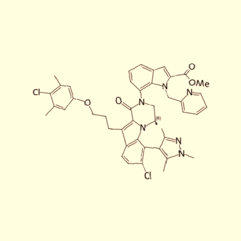 COC(=O)c1cc2cccc(N3C[C@@H](C)n4c(c(CCCOc5cc(C)c(Cl)c(C)c5)c5ccc(Cl)c(-c6c(C)nn(C)c6C)c54)C3=O)c2n1Cc1ccccn1